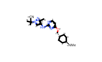 CN[C@H]1CC[C@H](COc2ccnc(Nc3cn(C(C)(C)C#N)nc3C)n2)CC1